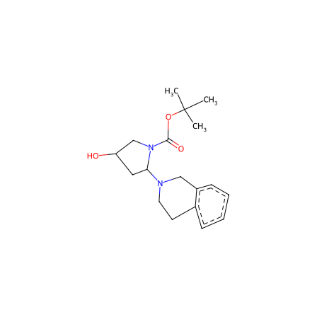 CC(C)(C)OC(=O)N1CC(O)CC1N1CCc2ccccc2C1